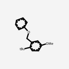 COc1ccc(C(C)(C)C)c(COc2ccccc2)c1